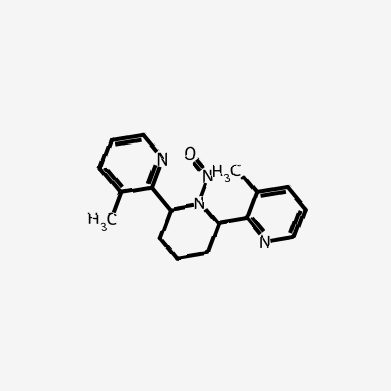 Cc1cccnc1C1CCCC(c2ncccc2C)N1N=O